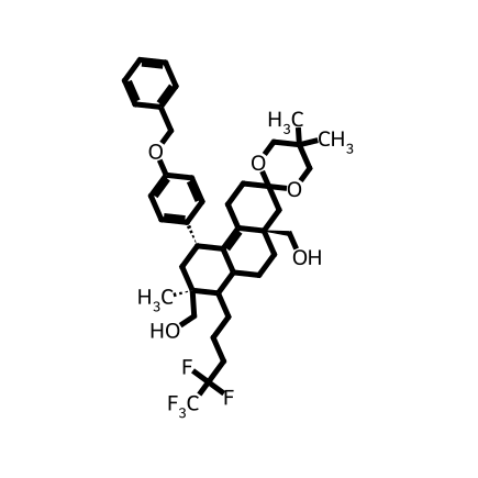 CC1(C)COC2(CCC3=C4C(CC[C@@]3(CO)C2)C(CCCC(F)(F)C(F)(F)F)[C@@](C)(CO)C[C@@H]4c2ccc(OCc3ccccc3)cc2)OC1